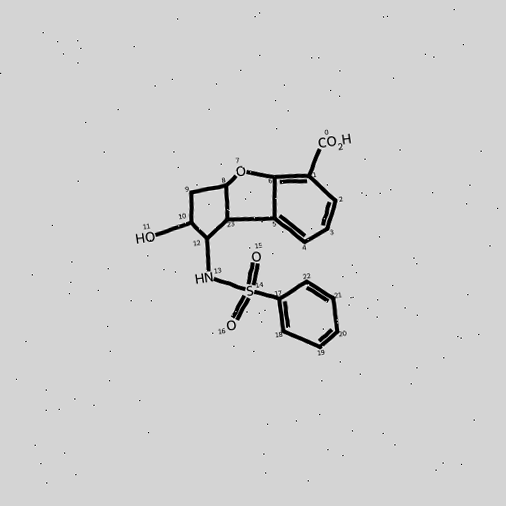 O=C(O)c1cccc2c1OC1CC(O)C(NS(=O)(=O)c3ccccc3)C21